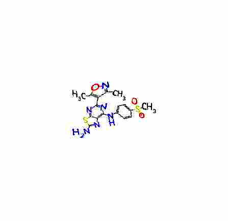 Cc1noc(C)c1-c1nc(Nc2ccc(S(C)(=O)=O)cc2)c2nc(N)sc2n1